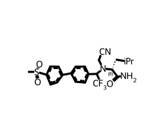 CC(C)C[C@H](C(N)=O)N(CC#N)C(c1ccc(-c2ccc(S(C)(=O)=O)cc2)cc1)C(F)(F)F